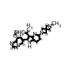 COc1cc(-c2[nH]c3ccc(N4CC5(CN(C)C5)C4)nc3c2C(C)C)cn2ncnc12